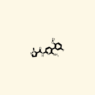 CCOc1ccc(F)cc1-c1ccc(NC(=O)c2ccnn2C)nc1N